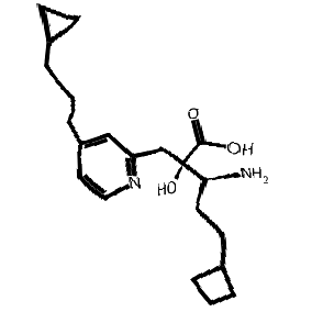 N[C@@H](CCC1CCC1)[C@](O)(Cc1cc(CCCC2CC2)ccn1)C(=O)O